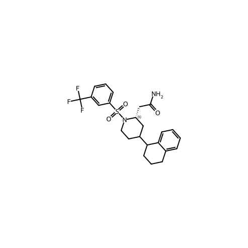 NC(=O)C[C@@H]1CC(C2CCCc3ccccc32)CCN1S(=O)(=O)c1cccc(C(F)(F)F)c1